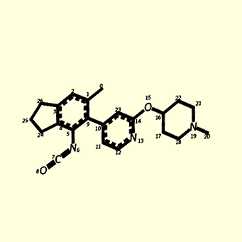 Cc1cc2c(c(N=C=O)c1-c1ccnc(OC3CCN(C)CC3)c1)CCC2